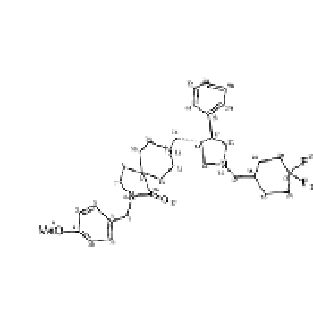 COc1ccc(CN2CCC3(CCN(C[C@H]4CN(CC5CCC(F)(F)CC5)CC4c4ccccc4)CC3)C2=O)cc1